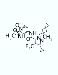 CC1(Cn2nc(C3CC3)c(C(F)(F)F)c2C(=O)Nc2cc[n+]([O-])c(S(C)(=N)=O)c2)CC2(CC2)C1